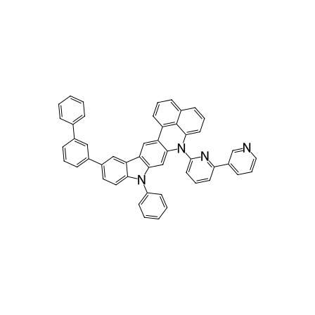 c1ccc(-c2cccc(-c3ccc4c(c3)c3cc5c(cc3n4-c3ccccc3)N(c3cccc(-c4cccnc4)n3)c3cccc4cccc-5c34)c2)cc1